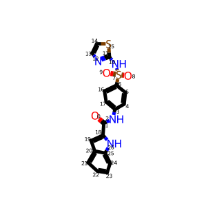 O=C(Nc1ccc(S(=O)(=O)Nc2nccs2)cc1)c1cc2ccccc2[nH]1